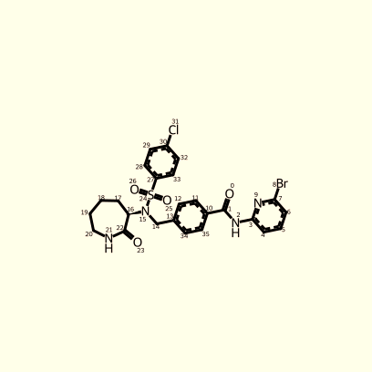 O=C(Nc1cccc(Br)n1)c1ccc(CN([C@@H]2CCCCNC2=O)S(=O)(=O)c2ccc(Cl)cc2)cc1